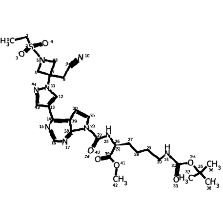 CCS(=O)(=O)N1CC(CC#N)(n2cc(-c3ncnc4c3ccn4C(=O)N[C@@H](CCCCNC(=O)OC(C)(C)C)C(=O)OC)cn2)C1